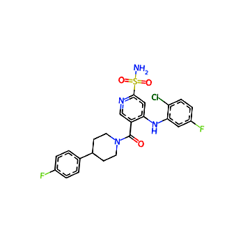 NS(=O)(=O)c1cc(Nc2cc(F)ccc2Cl)c(C(=O)N2CCC(c3ccc(F)cc3)CC2)cn1